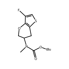 CN(C(=O)OC(C)(C)C)C1COc2c(F)csc2C1